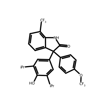 CC(C)c1cc(C2(c3ccc(OC(F)(F)F)cc3)C(=O)Nc3c(C(F)(F)F)cccc32)cc(C(C)C)c1O